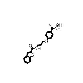 O=C(NCCCOc1ccc(C(=S)NO)cc1)c1cc2ccccc2s1